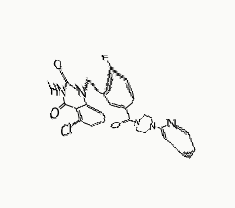 O=C(c1ccc(F)c(Cn2c(=O)[nH]c(=O)c3c(Cl)cccc32)c1)N1CCN(c2ccccn2)CC1